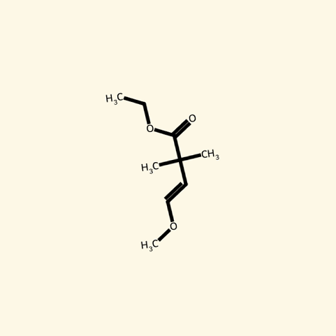 CCOC(=O)C(C)(C)C=COC